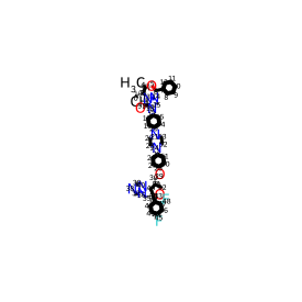 CC[C@H]([C@H](C)OCc1ccccc1)n1ncn(-c2ccc(N3CCN(c4ccc(OC[C@@H]5CO[C@@](Cn6cncn6)(c6ccc(F)cc6F)C5)cc4)CC3)cc2)c1=O